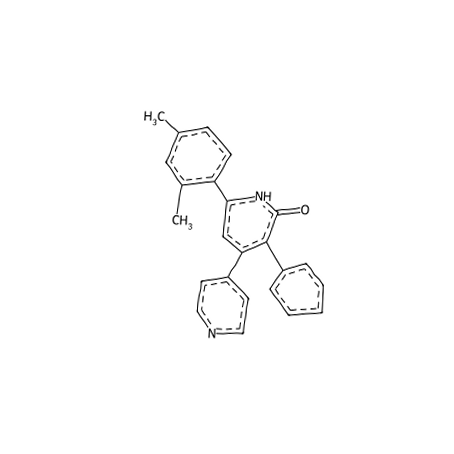 Cc1ccc(-c2cc(-c3ccncc3)c(-c3ccccc3)c(=O)[nH]2)c(C)c1